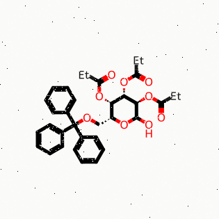 CCC(=O)O[C@@H]1[C@H](OC(=O)CC)[C@@H](OC(=O)CC)C(O)O[C@@H]1COC(c1ccccc1)(c1ccccc1)c1ccccc1